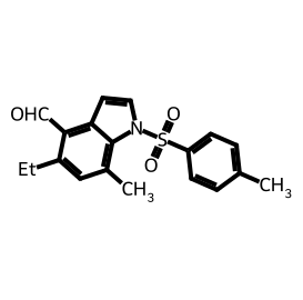 CCc1cc(C)c2c(ccn2S(=O)(=O)c2ccc(C)cc2)c1C=O